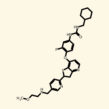 COCCNCc1ccc(C2Cc3nccc(Oc4ccc(NC(=O)NCC5CCCCC5)cc4F)c3S2)nc1